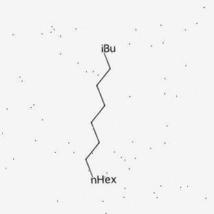 [CH2]CCCCCCCCCCCC(C)C[CH2]